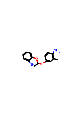 Cc1cc(OC(C)Oc2ccccc2N)ccc1N